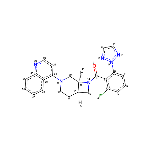 O=C(c1c(F)cccc1-n1nccn1)N1C[C@H]2CCN(c3ccnc4ccccc34)C[C@H]21